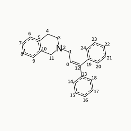 C(CN1CCc2ccccc2C1)=C(c1ccccc1)c1ccccc1